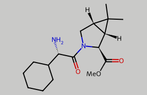 COC(=O)[C@@H]1[C@@H]2[C@H](CN1C(=O)[C@@H](N)C1CCCCC1)C2(C)C